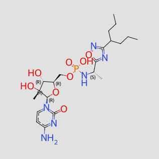 CCCC(CCC)c1noc([C@H](C)NP(=O)(O)OC[C@H]2O[C@@H](n3ccc(N)nc3=O)[C@](C)(O)[C@@H]2O)n1